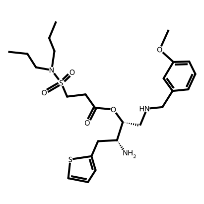 CCCN(CCC)S(=O)(=O)CCC(=O)O[C@H](CNCc1cccc(OC)c1)[C@H](N)Cc1cccs1